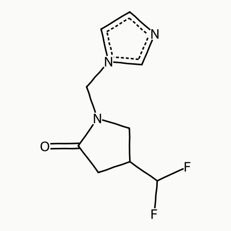 O=C1CC(C(F)F)CN1Cn1ccnc1